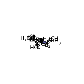 Cc1cc(N(C(=O)CCCC[Si](C)(C)C(C)(C)C)c2nc(C(=O)O)cs2)nnc1/N=c1\sc2ccccc2n1COCC[Si](C)(C)C